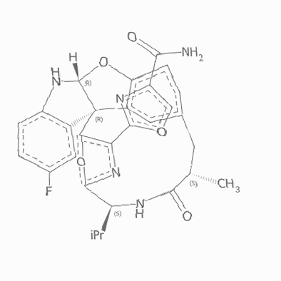 CC(C)[C@@H]1NC(=O)[C@@H](C)Cc2ccc3c(c2)[C@@]2(c4cc(F)ccc4N[C@@H]2O3)c2oc1nc2-c1nc(C(N)=O)co1